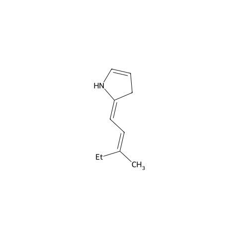 CC/C(C)=C\C=C1/CC=CN1